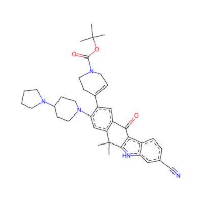 CC(C)(C)OC(=O)N1CC=C(c2cc3c(cc2N2CCC(N4CCCC4)CC2)C(C)(C)c2[nH]c4cc(C#N)ccc4c2C3=O)CC1